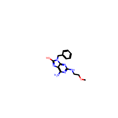 COCCNc1nc(N)c2nc(O)n(Cc3ccccc3)c2n1